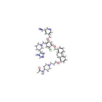 CC(=O)NC1CCN(CCCOc2cccc(-c3cccc(COc4cc(OCc5cncc(C#N)c5)c(CN5CCCC(c6nnc[nH]6)C5)cc4Cl)c3C)c2C)CC1